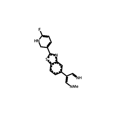 CN/C=C(\C=N)c1ccc2sc(C3=CC=C(F)NC3)nc2c1